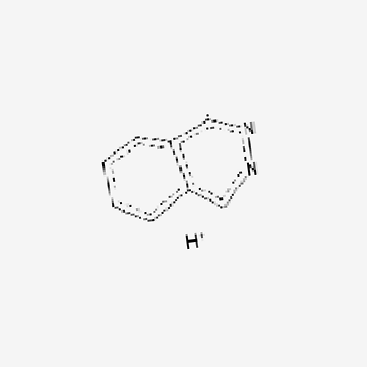 [H+].[c]1nncc2ccccc12